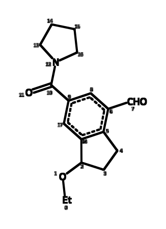 CCOC1CCc2c(C=O)cc(C(=O)N3CCCC3)cc21